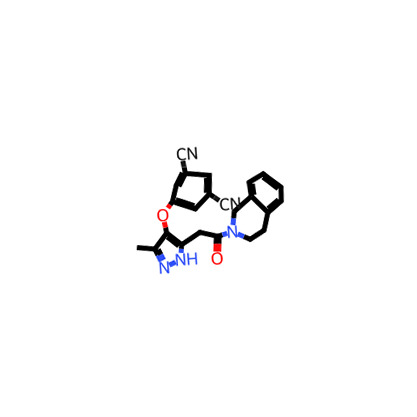 Cc1n[nH]c(CC(=O)N2CCc3ccccc3C2)c1Oc1cc(C#N)cc(C#N)c1